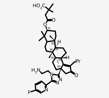 CC(C)C1=C2[C@H]3CC[C@@H]4[C@@]5(C)CC[C@H](OC(=O)CC(C)(C)C(=O)O)C(C)(C)C5CC[C@@]4(C)[C@]3(C)CC[C@@]2(c2nnc(-c3ccc(F)cn3)n2CCN)CC1=O